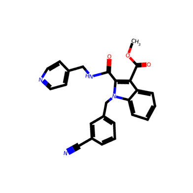 COC(=O)c1c(C(=O)NCc2ccncc2)n(Cc2cccc(C#N)c2)c2ccccc12